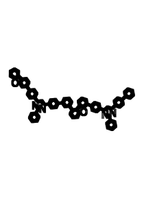 c1ccc(-c2ccc(-c3cc(-c4ccc(-c5cccc6c5oc5cccc(-c7cccc(-c8ccc(-c9cc(-c%10ccc(-c%11ccc%12c(c%11)oc%11ccccc%11%12)cc%10)nc(-c%10ccccc%10)n9)cc8)c7)c56)cc4)nc(-c4ccccc4)n3)cc2)cc1